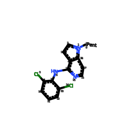 CCCC(C)n1ccc2c(Nc3c(Cl)cccc3Cl)nccc21